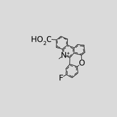 C[n+]1c2c3c(cccc3c3ccc(C(=O)O)cc31)Oc1ccc(F)cc1-2